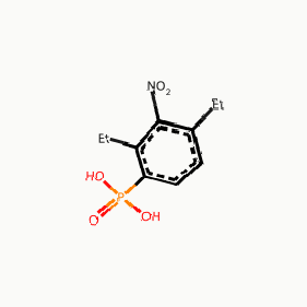 CCc1ccc(P(=O)(O)O)c(CC)c1[N+](=O)[O-]